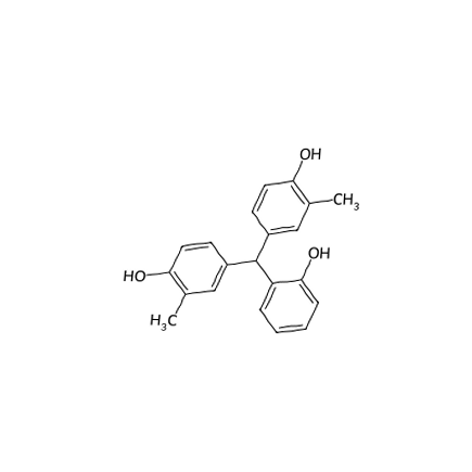 Cc1cc(C(c2ccc(O)c(C)c2)c2ccccc2O)ccc1O